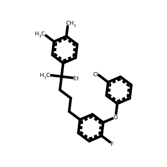 CCC(C)(CCCc1ccc(F)c(Oc2cccc(Cl)c2)c1)c1ccc(C)c(C)c1